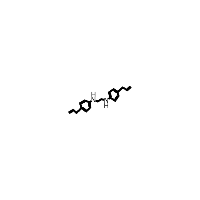 C=CCc1ccc(NCCNc2ccc(CC=C)cc2)cc1